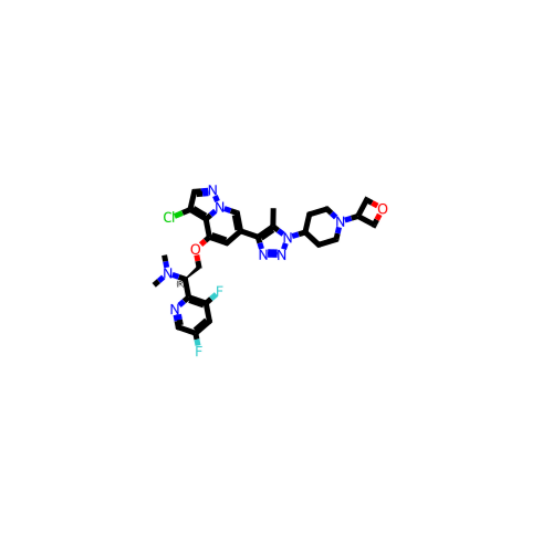 Cc1c(-c2cc(OC[C@@H](c3ncc(F)cc3F)N(C)C)c3c(Cl)cnn3c2)nnn1C1CCN(C2COC2)CC1